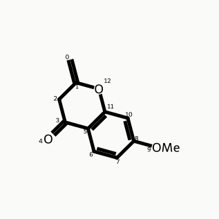 C=C1CC(=O)c2ccc(OC)cc2O1